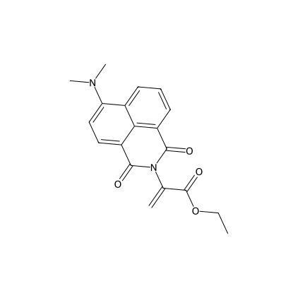 C=C(C(=O)OCC)N1C(=O)c2cccc3c(N(C)C)ccc(c23)C1=O